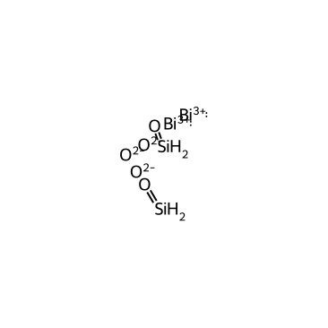 O=[SiH2].O=[SiH2].[Bi+3].[Bi+3].[O-2].[O-2].[O-2]